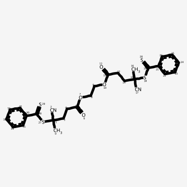 CC(C#N)(CCC(=O)OCCOC(=O)CCC(C)(C#N)SC(=S)c1ccccc1)SC(=S)c1ccccc1